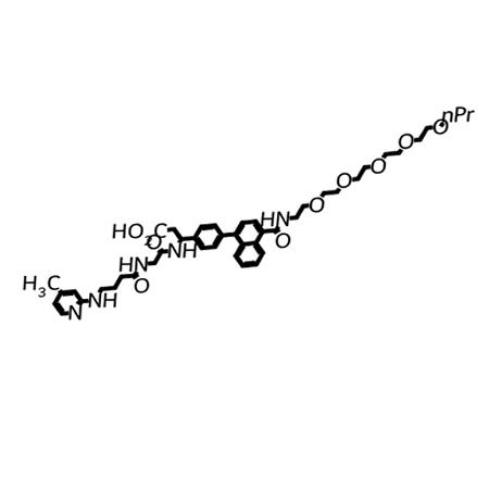 CCCOCCOCCOCCOCCOCCNC(=O)c1ccc(-c2ccc(C(CC(=O)O)NC(=O)CNC(=O)CCCNc3cc(C)ccn3)cc2)c2ccccc12